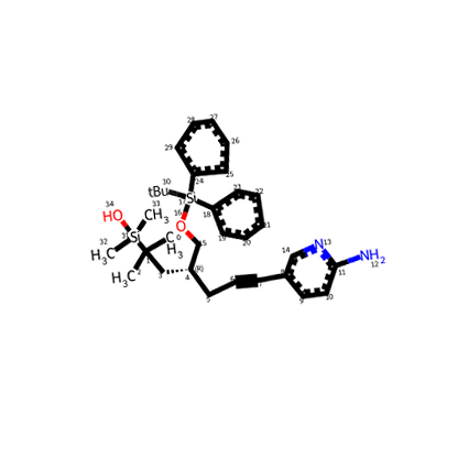 CC(C)(C[C@@H](CC#Cc1ccc(N)nc1)CO[Si](c1ccccc1)(c1ccccc1)C(C)(C)C)[Si](C)(C)O